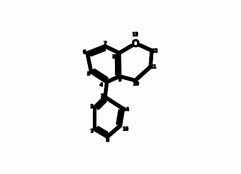 c1ccc(-c2cccc3c2CCCO3)cc1